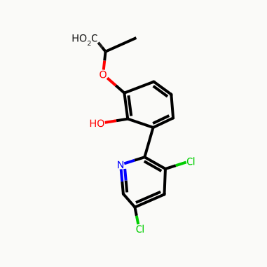 CC(Oc1cccc(-c2ncc(Cl)cc2Cl)c1O)C(=O)O